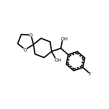 OC(c1ccc(F)cc1)C1(O)CCC2(CC1)OCCO2